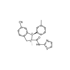 Cc1cccc([C@@H]2c3cc(C#N)ccc3C[C@]2(C)C(=O)Nc2nccs2)c1